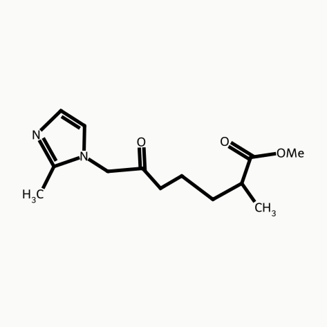 COC(=O)C(C)CCCC(=O)Cn1ccnc1C